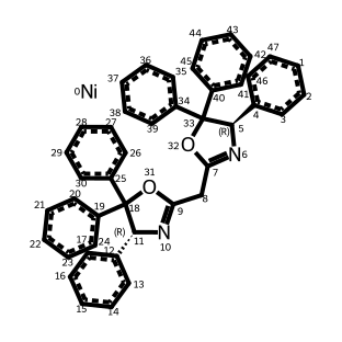 [Ni].c1ccc([C@H]2N=C(CC3=N[C@H](c4ccccc4)C(c4ccccc4)(c4ccccc4)O3)OC2(c2ccccc2)c2ccccc2)cc1